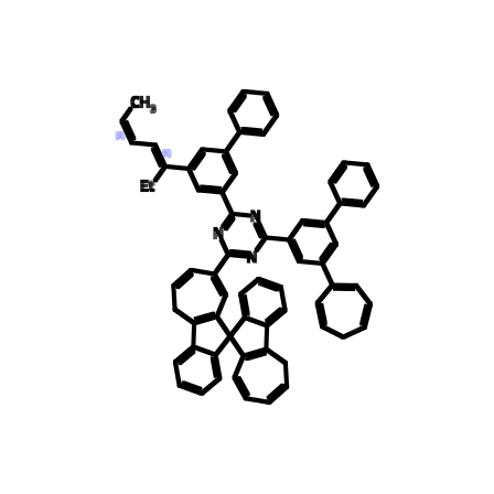 C/C=C\C=C(/CC)c1cc(-c2ccccc2)cc(-c2nc(C3=CC4=C(CC=C3)c3ccccc3C43C4=C(CC=CC=C4)c4ccccc43)nc(-c3cc(C4=CC=CCC=C4)cc(-c4ccccc4)c3)n2)c1